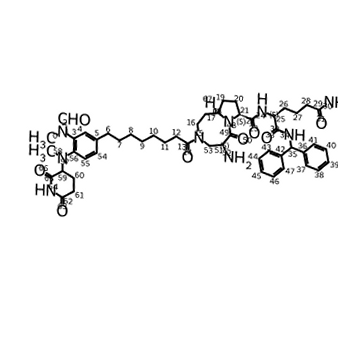 CN(C=O)c1cc(CCCCCCCC(=O)N2CC[C@H]3CC[C@@H](C(=O)N[C@@H](CCCC(N)=O)C(=O)NC(c4ccccc4)c4ccccc4)N3C(=O)[C@@H](N)C2)ccc1N(C)C1CCC(=O)NC1=O